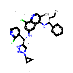 N#CCC[C@@H](Nc1c(C#N)cnc2c(Cl)cc(N[C@H](C3=CN(C4CC4)NN3)c3cccnc3Cl)cc12)c1ccccc1